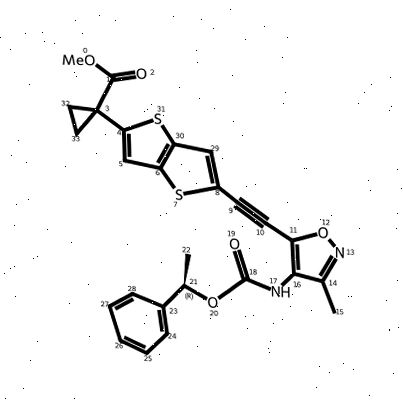 COC(=O)C1(c2cc3sc(C#Cc4onc(C)c4NC(=O)O[C@H](C)c4ccccc4)cc3s2)CC1